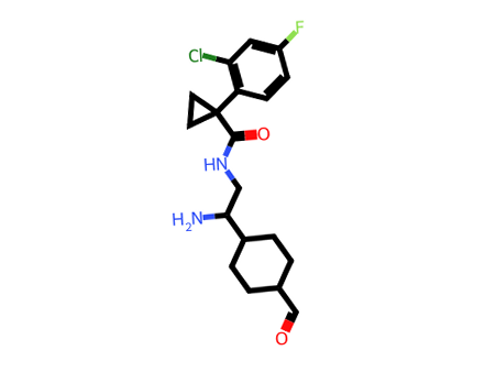 NC(CNC(=O)C1(c2ccc(F)cc2Cl)CC1)C1CCC(C=O)CC1